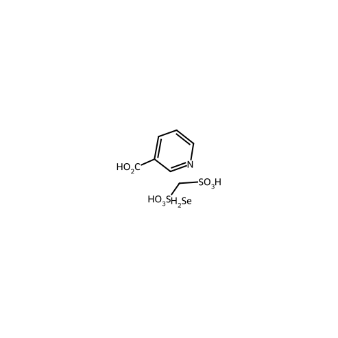 O=C(O)c1cccnc1.O=S(=O)(O)CS(=O)(=O)O.[SeH2]